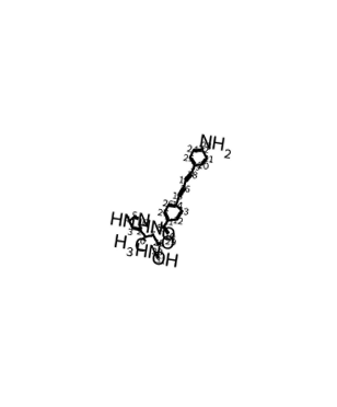 CC(c1c[nH]cn1)[C@H](NC(=O)c1ccc(C#CC#Cc2ccc(N)cc2)cc1)C(=O)NO